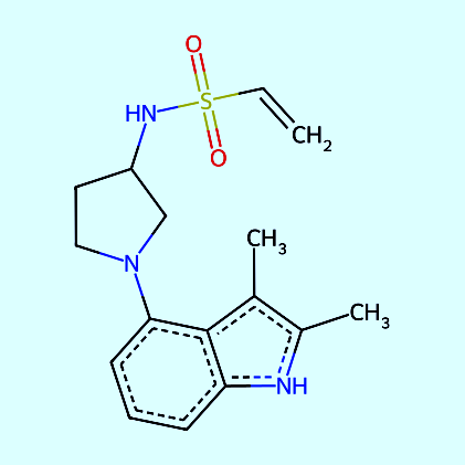 C=CS(=O)(=O)NC1CCN(c2cccc3[nH]c(C)c(C)c23)C1